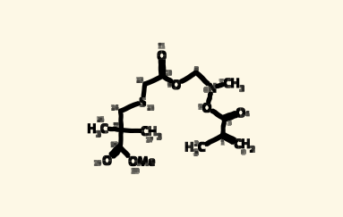 C=C(C)C(=O)ON(C)COC(=O)CSCC(C)(C)C(=O)OC